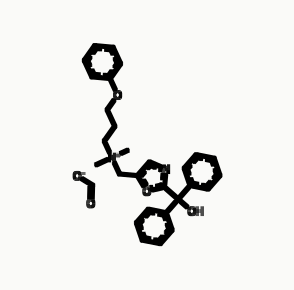 C[N+](C)(CCCOc1ccccc1)Cc1cnc(C(O)(c2ccccc2)c2ccccc2)o1.O=C[O-]